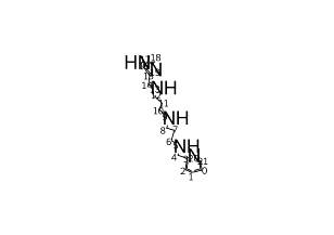 c1ccc(CNCCCNCCCNCc2c[nH]cn2)nc1